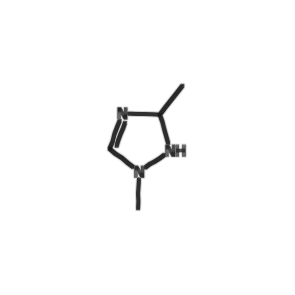 CC1N=CN(C)N1